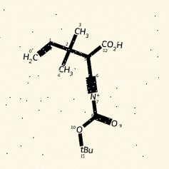 C=CC(C)(C)C(C#[N+]C(=O)OC(C)(C)C)C(=O)O